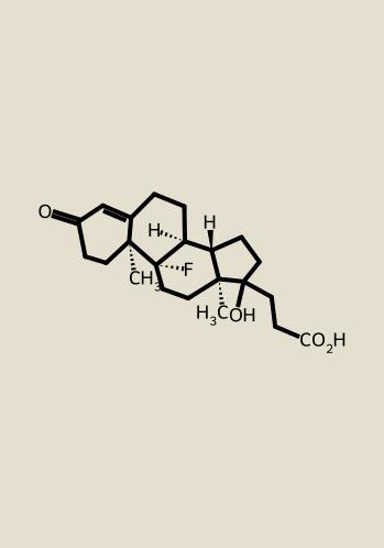 C[C@]12CC[C@]3(F)[C@@H](CCC4=CC(=O)CC[C@@]43C)[C@@H]1CCC2(O)CCC(=O)O